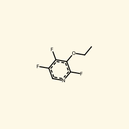 CCOc1c(F)ncc(F)c1F